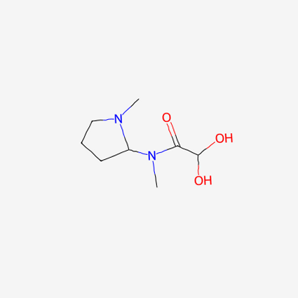 CN1CCCC1N(C)C(=O)C(O)O